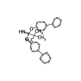 CC(C)(C)P(=N)(Oc1ccc(-c2ccccc2)cc1)Oc1ccc(-c2ccccc2)cc1